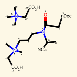 CCCCCCCCCCCC(=O)N(CCC[N+](C)(C)CC(=O)O)C(C)C#N.C[N+](C)(C)CC(=O)O